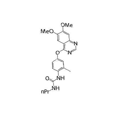 CCCNC(=O)Nc1ccc(Oc2ncnc3cc(OC)c(OC)cc23)cc1C